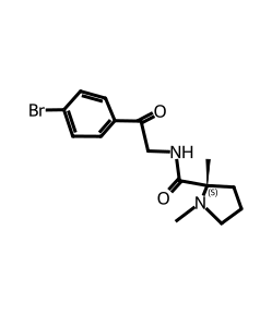 CN1CCC[C@@]1(C)C(=O)NCC(=O)c1ccc(Br)cc1